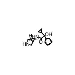 O=C(N[C@H]1C2CNC[C@@H]21)C(O)(c1ccccc1)C1CC1